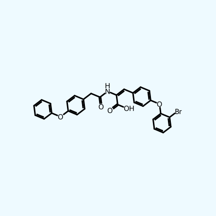 O=C(Cc1ccc(Oc2ccccc2)cc1)N/C(=C/c1ccc(Oc2ccccc2Br)cc1)C(=O)O